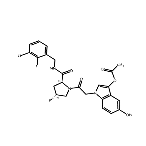 NC(=O)Oc1cn(CC(=O)N2C[C@H](F)C[C@H]2C(=O)NCc2cccc(Cl)c2F)c2ccc(O)cc12